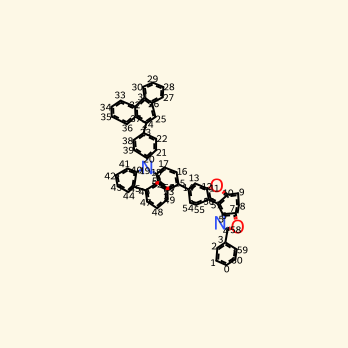 c1ccc(-c2nc3c(ccc4oc5cc(-c6ccc(N(c7ccc(-c8cc9ccccc9c9ccccc89)cc7)c7ccccc7-c7ccccc7)cc6)ccc5c43)o2)cc1